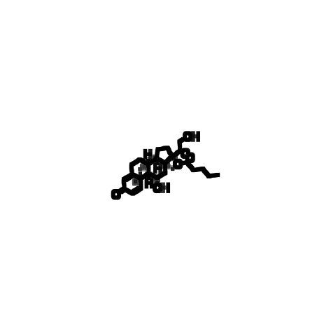 CCCCC(=O)O[C@@]1(C(=O)CO)CC[C@H]2[C@@H]3CCC4=CC(=O)C=C[C@]4(C)[C@H]3[C@@H](O)C[C@@]21C